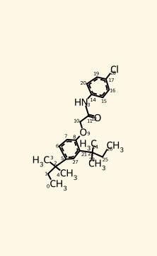 CCC(C)(C)c1ccc(OCC(=O)Nc2ccc(Cl)cc2)c(C(C)(C)CC)c1